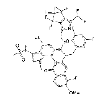 COc1ccc2c(=O)n(-c3ccc(Cl)c4c(NS(C)(=O)=O)nn(C)c34)c(C(Cc3cc(F)cc(F)c3)NC(=O)Cn3nc(C(F)F)c4c3C(F)(F)[C@@H]3C[C@H]43)nc2c1F